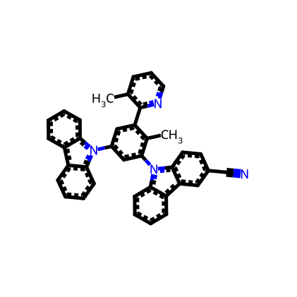 Cc1cccnc1-c1cc(-n2c3ccccc3c3ccccc32)cc(-n2c3ccccc3c3cc(C#N)ccc32)c1C